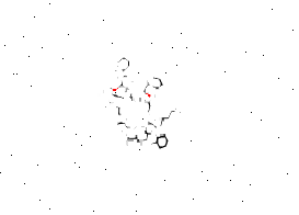 CC[C@H](C)[C@H](NC(=O)[C@H]1CCCCN1C)C(=O)N(C)[C@H](C[C@@H](OC)c1nc(C(=O)N[C@@H](C)C(=O)N[C@@H](Cc2ccccc2)C(=O)N[C@@H](CCCCN)C(=O)NCCNC(=O)CCN2C(=O)C=CC2=O)cs1)C(C)C